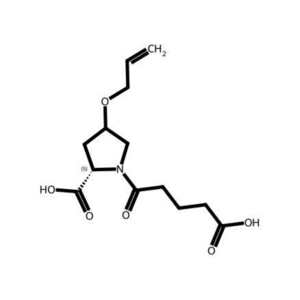 C=CCOC1C[C@@H](C(=O)O)N(C(=O)CCCC(=O)O)C1